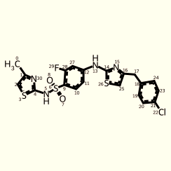 Cc1csc(NS(=O)(=O)c2ccc(Nc3nc(Cc4ccc(Cl)cc4)cs3)cc2F)n1